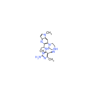 CCC(Nc1nc(N)nc(C)c1C#N)c1nc2ccn(C)c2cc1N1CCNCC1